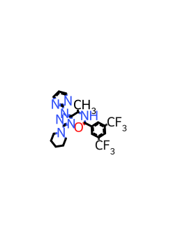 CC(NC(=O)c1cc(C(F)(F)F)cc(C(F)(F)F)c1)c1nc(N2CCCCC2)nn1-c1ncccn1